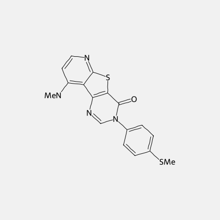 CNc1ccnc2sc3c(=O)n(-c4ccc(SC)cc4)cnc3c12